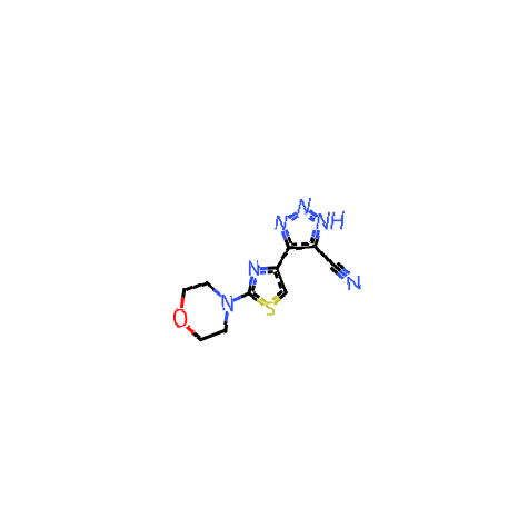 N#Cc1[nH]nnc1-c1csc(N2CCOCC2)n1